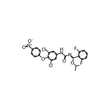 CC(C)OC(=NC(=O)Nc1cc(Cl)c(Oc2ccc([N+](=O)[O-])cc2)c(Cl)c1)c1c(F)cccc1F